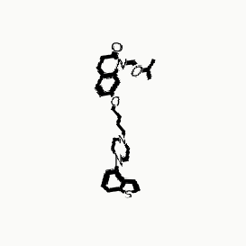 CC(C)OCN1C(=O)CCc2ccc(OCCCCN3CCN(c4cccc5sccc45)CC3)cc21